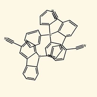 N#Cc1ccc2c(c1)c1ccccc1n2-c1ccc(C#N)c(-c2cccc(C#N)c2[Si](c2ccccc2)(c2ccccc2)c2ccccc2)c1